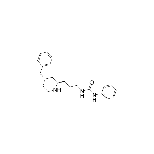 O=C(NCCC[C@@H]1C[C@@H](Cc2ccccc2)CCN1)Nc1ccccc1